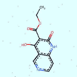 CCOC(=O)c1c(O)c2cnccc2[nH]c1=O